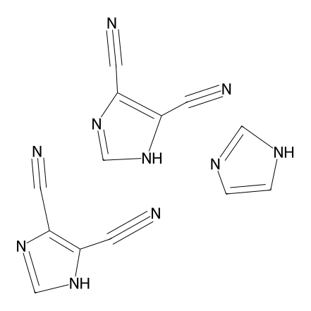 N#Cc1nc[nH]c1C#N.N#Cc1nc[nH]c1C#N.c1c[nH]cn1